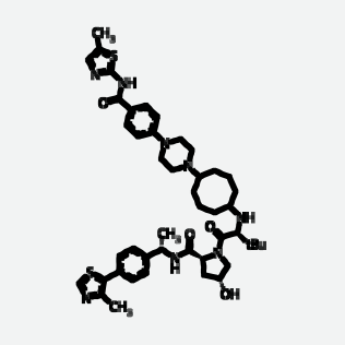 Cc1cnc(NC(=O)c2ccc(N3CCN(C4CCCC(N[C@H](C(=O)N5C[C@H](O)C[C@H]5C(=O)N[C@@H](C)c5ccc(-c6scnc6C)cc5)C(C)(C)C)CCC4)CC3)cc2)s1